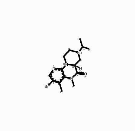 Cc1c(Br)cnc2c1N(C)C(=O)[C@H]1CN(C(C)C)CCN21